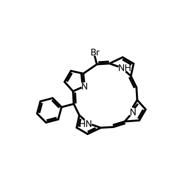 Brc1c2nc(c(-c3ccccc3)c3ccc(cc4nc(cc5ccc1[nH]5)C=C4)[nH]3)C=C2